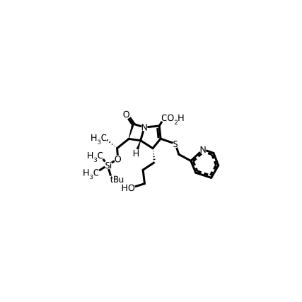 C[C@@H](O[Si](C)(C)C(C)(C)C)[C@H]1C(=O)N2C(C(=O)O)=C(SCc3ccccn3)[C@H](CCCO)[C@H]12